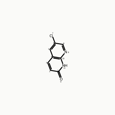 O=c1ccc2cc(Cl)cnc2[nH]1